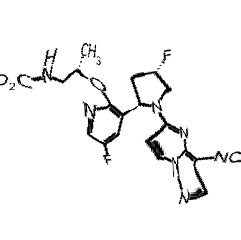 C[C@@H](CNC(=O)O)Oc1ncc(F)cc1[C@H]1C[C@H](F)CN1c1ccn2ncc([N+](=O)[O-])c2n1